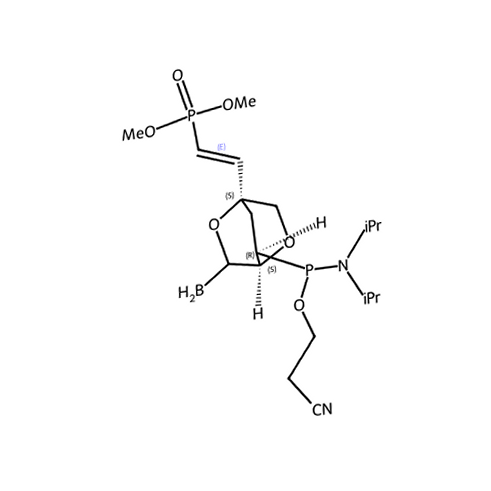 BC1O[C@@]2(/C=C/P(=O)(OC)OC)CO[C@@H]1[C@H](P(OCCC#N)N(C(C)C)C(C)C)C2